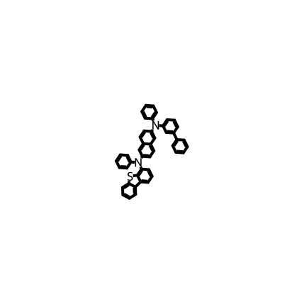 c1ccc(-c2cccc(N(c3ccccc3)c3ccc4cc(N(c5ccccc5)c5cccc6c5sc5ccccc56)ccc4c3)c2)cc1